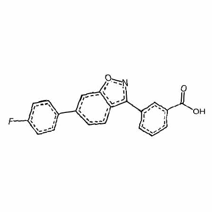 O=C(O)c1cccc(-c2noc3cc(-c4ccc(F)cc4)ccc23)c1